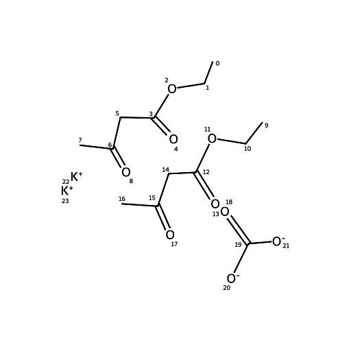 CCOC(=O)CC(C)=O.CCOC(=O)CC(C)=O.O=C([O-])[O-].[K+].[K+]